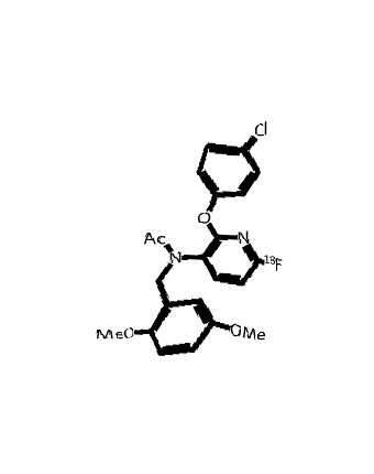 COc1ccc(OC)c(CN(C(C)=O)c2ccc([18F])nc2Oc2ccc(Cl)cc2)c1